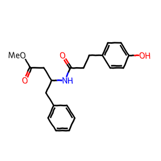 COC(=O)CC(Cc1ccccc1)NC(=O)CCc1ccc(O)cc1